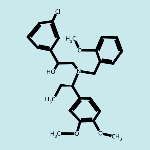 C[CH][C@H](c1ccc(OC)c(OC)c1)N(Cc1ccccc1OC)CC(O)c1cccc(Cl)c1